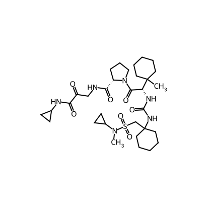 CN(C1CC1)S(=O)(=O)CC1(NC(=O)N[C@H](C(=O)N2CCC[C@H]2C(=O)NCC(=O)C(=O)NC2CC2)C2(C)CCCCC2)CCCCC1